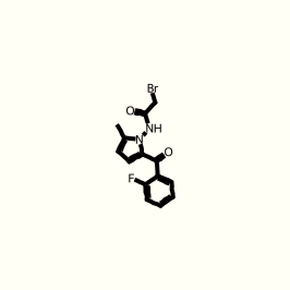 Cc1ccc(C(=O)c2ccccc2F)n1NC(=O)CBr